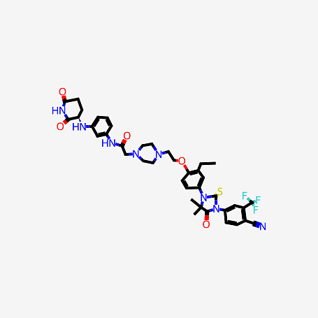 CCc1cc(N2C(=S)N(c3ccc(C#N)c(C(F)(F)F)c3)C(=O)C2(C)C)ccc1OCCN1CCN(CC(=O)Nc2cccc(N[C@H]3CCC(=O)NC3=O)c2)CC1